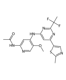 COc1cnc(NC(C)=O)cc1Nc1cc(-c2cnc(C)s2)nc(C(C)(F)F)n1